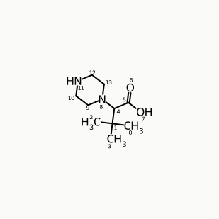 CC(C)(C)C(C(=O)O)N1CCNCC1